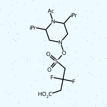 CC(=O)N1C(C(C)C)CN(OS(=O)(=O)CC(F)(F)CC(=O)O)CC1C(C)C